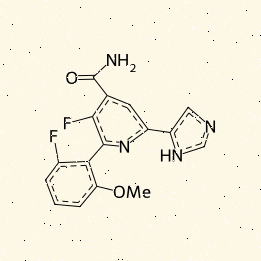 COc1cccc(F)c1-c1nc(-c2cnc[nH]2)cc(C(N)=O)c1F